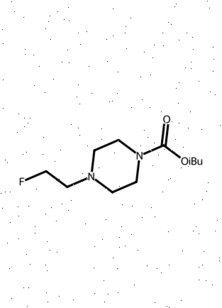 CC(C)COC(=O)N1CCN(CCF)CC1